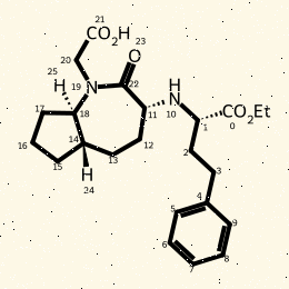 CCOC(=O)[C@H](CCc1ccccc1)N[C@@H]1CC[C@@H]2CCC[C@H]2N(CC(=O)O)C1=O